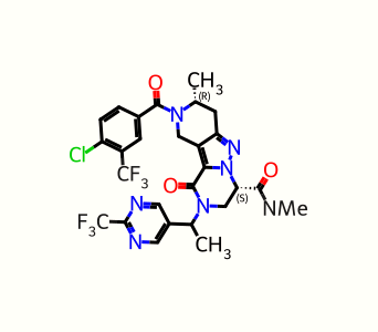 CNC(=O)[C@@H]1CN(C(C)c2cnc(C(F)(F)F)nc2)C(=O)c2c3c(nn21)C[C@@H](C)N(C(=O)c1ccc(Cl)c(C(F)(F)F)c1)C3